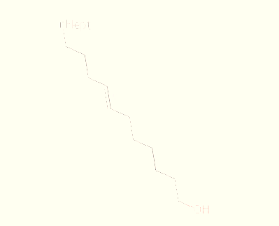 CCCCCCCCCC/C=C/CCCCCCO